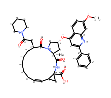 COc1ccc2c(O[C@@H]3C[C@H]4C(=O)NC5(C(=O)O)CC5/C=C\CCCCC[C@@H](CC(=O)N5CCCCC5)C(=O)N4C3)cc(-c3ccccc3)nc2c1